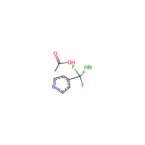 Br.CC(=O)O.FC(F)(F)c1ccncc1